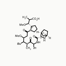 CCC(C)C(C(CC(=O)N1CCC[C@H]1C(OC)C(C)C(=O)O)OC)N(C)C(=O)C(NC(=O)[C@H]1N[C@@H]2CC[C@H]1C2)C(C)C